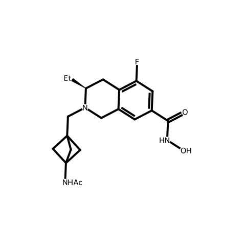 CC[C@H]1Cc2c(F)cc(C(=O)NO)cc2CN1CC12CC(NC(C)=O)(C1)C2